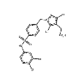 CCc1nn(Cc2ccc(S(=O)(=O)Nc3ccc(Cl)c(Cl)c3)cc2)c(CC)c1CC(=O)O